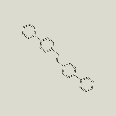 C(=Cc1ccc(-c2ccccc2)cc1)c1ccc(-c2ccccc2)cc1